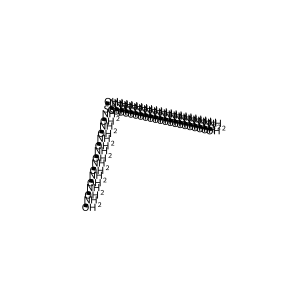 NO.NO.NO.NO.NO.NO.NO.NO.NO.NO.NO.NO.NO.NO.NO.NO.NO.NO.NO.NO.NO.NO.NO.NO.NO.NO.NO.NO.NO.O=S(=O)(O)O